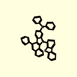 c1ccc(-c2cc3ccccc3c3c2c2ccc(N(c4ccccc4)c4ccccc4)cc2n3-c2cccc3c2sc2ccccc23)cc1